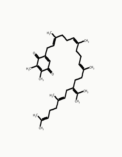 CC(C)=CCC/C(C)=C/CC(CC/C(C)=C/CCC(C)=CCC/C(C)=C/CC1=CC(=O)C(C)=C(C)C1=O)=C(C)C